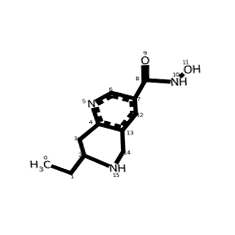 CCC1Cc2ncc(C(=O)NO)cc2CN1